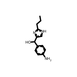 CCCc1nc(C(O)c2ccc(N)cc2)c[nH]1